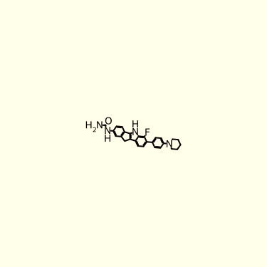 NC(=O)Nc1ccc2c(c1)Cc1c-2[nH]c2c(F)c(-c3ccc(N4CCCCC4)cc3)ccc12